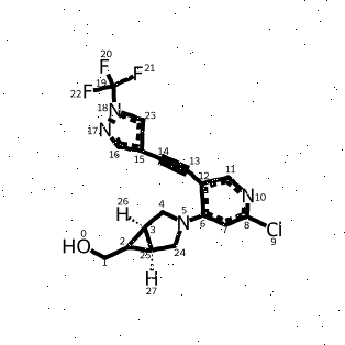 OCC1[C@H]2CN(c3cc(Cl)ncc3C#Cc3cnn(C(F)(F)F)c3)C[C@@H]12